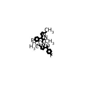 CCc1ccc(C(=O)c2ccc(F)cc2)n1N=C(C)c1c(C)nn2c(CC)ccc2c1-c1ccc(F)cc1